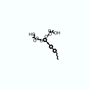 C=C(CO)C(=O)OCCOc1cc(C#Cc2ccc(-c3ccc(CCCCC)cc3)cc2)cc(OCCOC(=O)C(=C)CO)c1